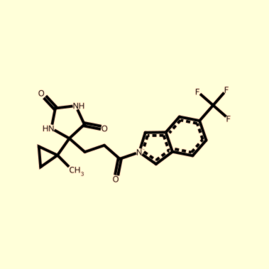 CC1(C2(CCC(=O)n3cc4ccc(C(F)(F)F)cc4c3)NC(=O)NC2=O)CC1